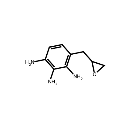 Nc1ccc(CC2CO2)c(N)c1N